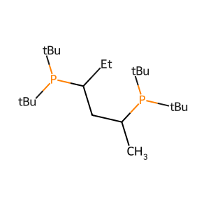 CCC(CC(C)P(C(C)(C)C)C(C)(C)C)P(C(C)(C)C)C(C)(C)C